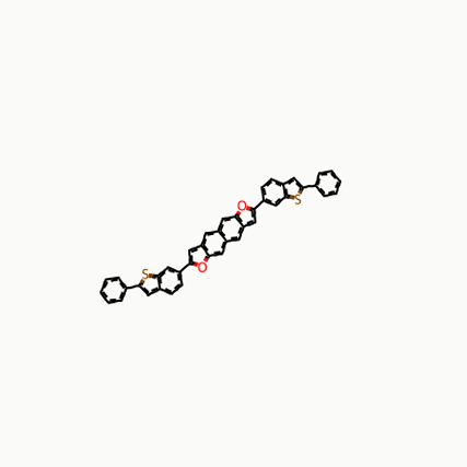 c1ccc(-c2cc3ccc(-c4cc5cc6cc7oc(-c8ccc9cc(-c%10ccccc%10)sc9c8)cc7cc6cc5o4)cc3s2)cc1